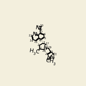 C[C@@H]1C[C@H](c2ccc(C3=NC3)c3ncccc23)CN(Cc2cnn(C)c2)C1